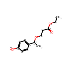 CCOC(=O)CCO[C@@H](C)c1ccc(O)cc1